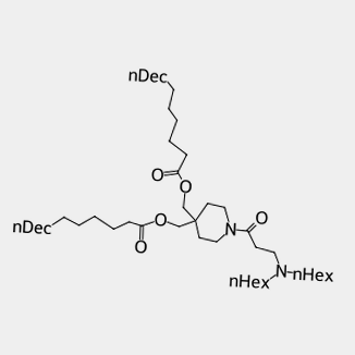 CCCCCCCCCCCCCCCC(=O)OCC1(COC(=O)CCCCCCCCCCCCCCC)CCN(C(=O)CCN(CCCCCC)CCCCCC)CC1